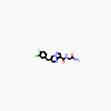 NC(=O)CNC(=O)c1cnn2cc(Cc3ccc(F)c(Cl)c3)cnc12